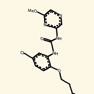 COc1cncc(NC(=O)Nc2cc(Cl)ccc2OCCCN)n1